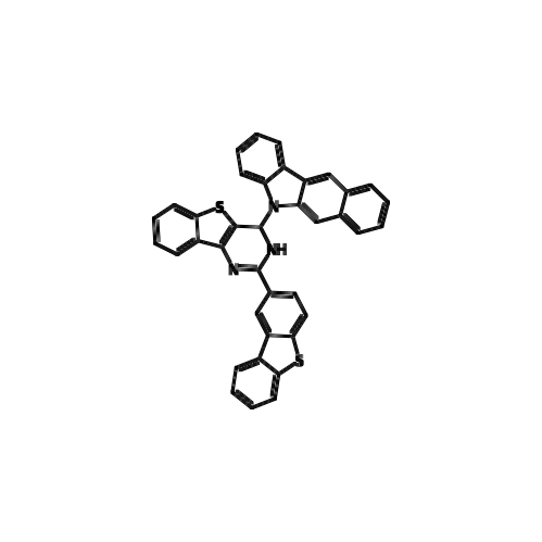 c1ccc2cc3c(cc2c1)c1ccccc1n3C1NC(c2ccc3sc4ccccc4c3c2)=Nc2c1sc1ccccc21